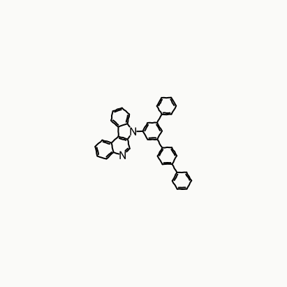 c1ccc(-c2ccc(-c3cc(-c4ccccc4)cc(-n4c5ccccc5c5c6ccccc6ncc54)c3)cc2)cc1